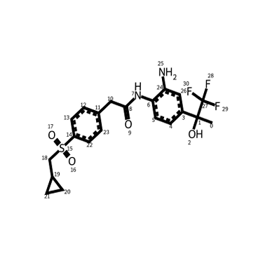 CC(O)(c1ccc(NC(=O)Cc2ccc(S(=O)(=O)CC3CC3)cc2)c(N)c1)C(F)(F)F